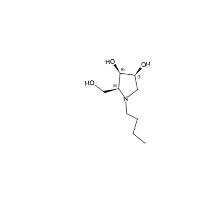 CCCCN1C[C@H](O)[C@H](O)[C@@H]1CO